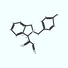 Cc1ccc(CN2Cc3ccccc3C2C(=O)C=O)cc1